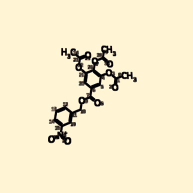 CC(=O)Oc1cc(C(=O)OCc2cccc([N+](=O)[O-])c2)cc(OC(C)=O)c1OC(C)=O